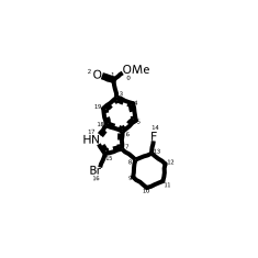 COC(=O)c1ccc2c(C3CCCCC3F)c(Br)[nH]c2c1